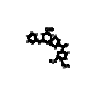 Cc1cc(C(=O)N2CCC3(CC(C=O)CN(Cc4ccccc4)C3)OC2)ccc1OC(C)C